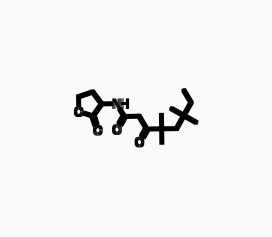 CCC(C)(C)CC(C)(C)C(=O)CC(=O)NC1CCOC1=O